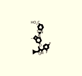 C[C@@H]1CC23C1CC(OCc1c(-c4ccc(F)cc4F)noc1C1CC1)CC2N3c1nc2ccc(C(=O)O)cc2s1